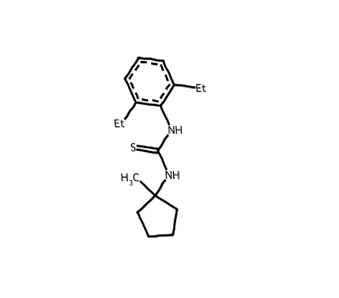 CCc1cccc(CC)c1NC(=S)NC1(C)CCCC1